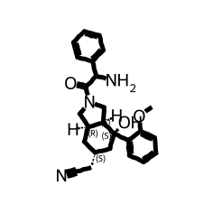 COc1ccccc1[C@]1(O)C[C@H](CC#N)C[C@H]2CN(C(=O)C(N)c3ccccc3)C[C@H]21